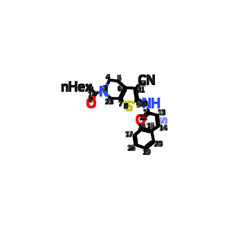 CCCCCCC(=O)N1CCc2c(sc(NC(=O)/C=C\c3ccccc3)c2C#N)C1